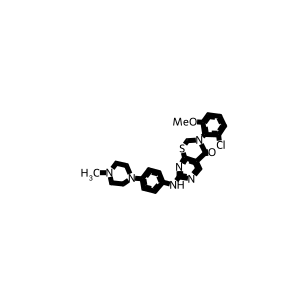 COc1cccc(Cl)c1N1CSc2nc(Nc3ccc(N4CCN(C)CC4)cc3)ncc2C1=O